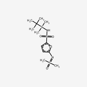 CC(C)(C)[Si](C)(C)NS(=O)(=O)c1ccc(N=S(C)(C)=O)s1